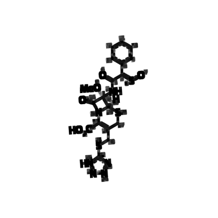 CO[C@@]1(NC(=O)C(=S=O)c2ccccc2)C(=O)N2C(C(=O)O)=C(CSc3nnn[nH]3)CS[C@@H]21